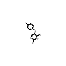 O=c1[nH]cc(Sc2ccc(F)cc2)c(=O)[nH]1